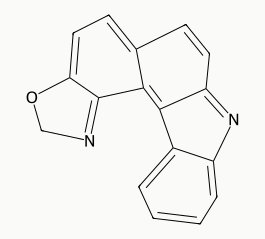 c1ccc2c(c1)N=c1ccc3ccc4c(c3c1-2)=NCO4